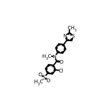 Cc1nc(-c2ccc(N(C)C(=O)c3ccc(S(C)(=O)=O)cc3Cl)cc2)cs1